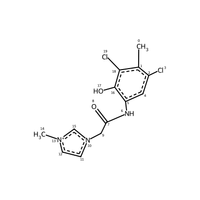 Cc1c(Cl)cc(NC(=O)Cn2cc[n+](C)c2)c(O)c1Cl